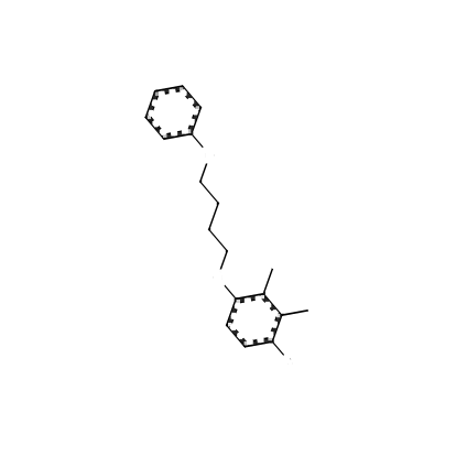 CC(=O)c1ccc(OCCCCOc2ccccc2)c(C)c1C